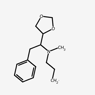 [CH2]CCN(C)C(Cc1ccccc1)C1COCO1